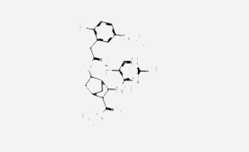 NC(=O)C1C2CC(OC(=O)Cc3cc([N+](=O)[O-])ccc3F)C(C2)C1Nc1nc(Cl)ncc1F